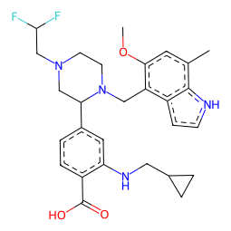 COc1cc(C)c2[nH]ccc2c1CN1CCN(CC(F)F)CC1c1ccc(C(=O)O)c(NCC2CC2)c1